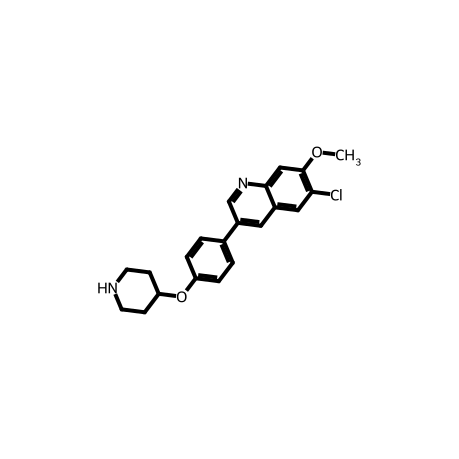 COc1cc2ncc(-c3ccc(OC4CCNCC4)cc3)cc2cc1Cl